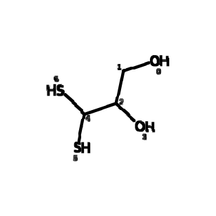 OCC(O)C(S)S